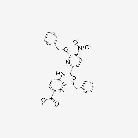 COC(=O)c1ccc(NC(=O)c2ccc([N+](=O)[O-])c(OCc3ccccc3)n2)c(OCc2ccccc2)n1